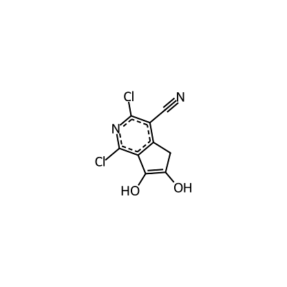 N#Cc1c(Cl)nc(Cl)c2c1CC(O)=C2O